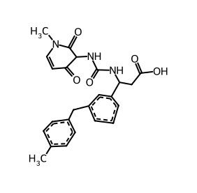 Cc1ccc(Cc2cccc(C(CC(=O)O)NC(=O)NC3C(=O)C=CN(C)C3=O)c2)cc1